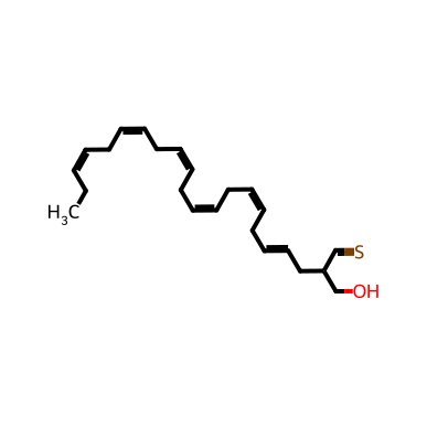 CC/C=C\C/C=C\C/C=C\C/C=C\C/C=C\C/C=C/CC(C=S)CO